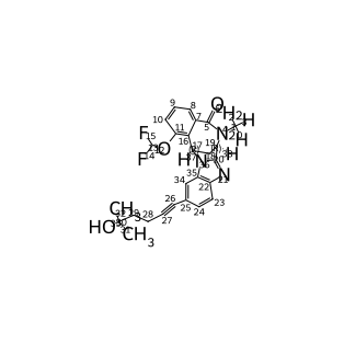 [2H]C([2H])([2H])N1C(=O)c2cccc(OC(F)F)c2[C@H]2C[C@@H]1c1nc3ccc(C#CCCC(C)(C)O)cc3n12